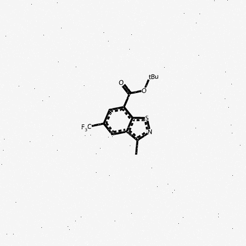 Cc1nsc2c(C(=O)OC(C)(C)C)cc(C(F)(F)F)cc12